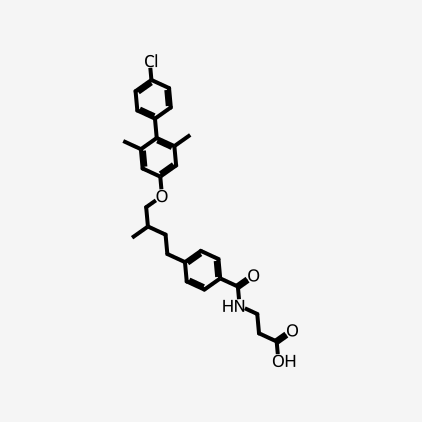 Cc1cc(OCC(C)CCc2ccc(C(=O)NCCC(=O)O)cc2)cc(C)c1-c1ccc(Cl)cc1